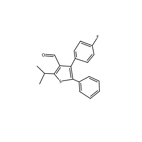 CC(C)c1sc(-c2ccccc2)c(-c2ccc(F)cc2)c1C=O